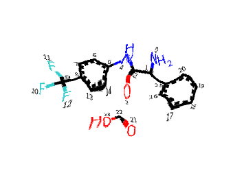 NC(C(=O)Nc1ccc(C(F)(F)F)cc1)c1ccccc1.O=CO